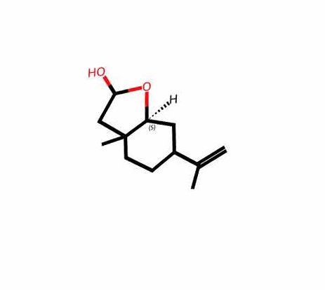 C=C(C)C1CCC2(C)CC(O)O[C@H]2C1